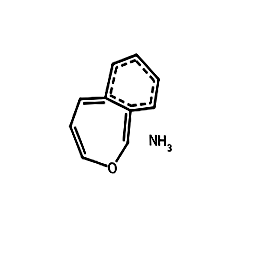 C1=COC=c2ccccc2=C1.N